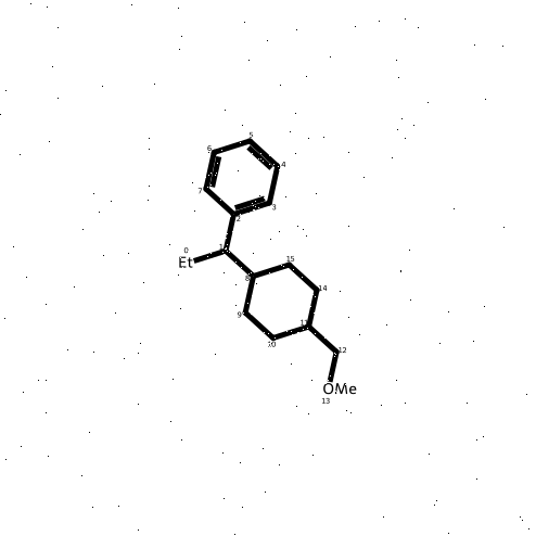 CCC(c1ccccc1)C1CCC(COC)CC1